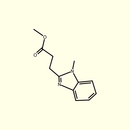 COC(=O)CCc1nc2ccccc2n1C